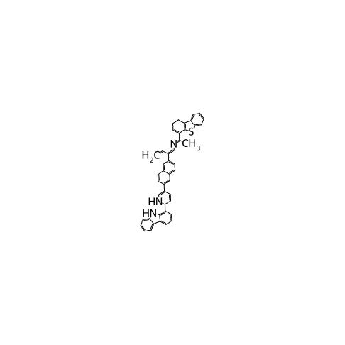 C=C/C(=C\N=C(/C)C1=CCCc2c1sc1ccccc21)c1ccc2cc(C3=CNC(c4cccc5c4[nH]c4ccccc45)C=C3)ccc2c1